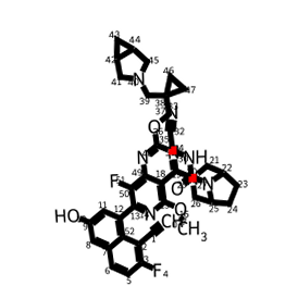 C#Cc1c(F)ccc2cc(O)cc(-c3nc(OC)c4c(N5CC6CCC(C5)N6C(=O)NCC#N)nc(OCC5(CN6CC7CC7C6)CC5)nc4c3F)c12